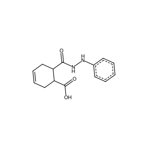 O=C(O)C1CC=CCC1C(=O)NNc1ccccc1